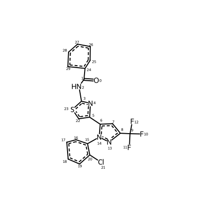 O=C(Nc1nc(-c2cc(C(F)(F)F)nn2-c2ccccc2Cl)cs1)c1ccccc1